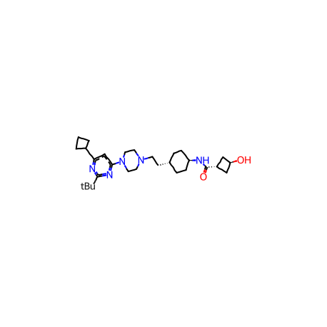 CC(C)(C)c1nc(C2CCC2)cc(N2CCN(CC[C@H]3CC[C@H](NC(=O)[C@H]4C[C@H](O)C4)CC3)CC2)n1